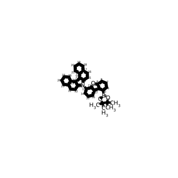 CC1(C)OB(c2cccc3oc4c(-n5c6ccc7ccccc7c6c6c7ccccc7ccc65)cccc4c23)OC1(C)C